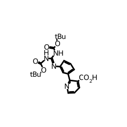 CC(C)(C)OC(=O)NC(=Nc1cccc(-c2ncccc2C(=O)O)c1)NC(=O)OC(C)(C)C